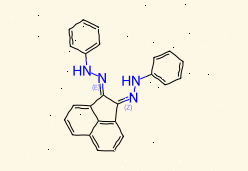 c1ccc(N/N=C2\C(=N\Nc3ccccc3)c3cccc4cccc2c34)cc1